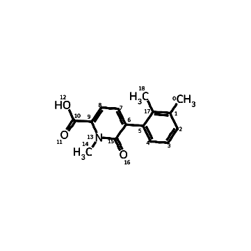 Cc1cccc(-c2ccc(C(=O)O)n(C)c2=O)c1C